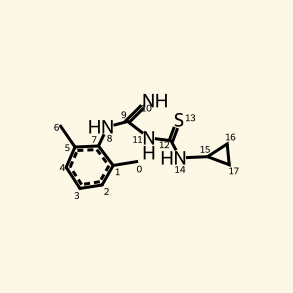 Cc1cccc(C)c1NC(=N)NC(=S)NC1CC1